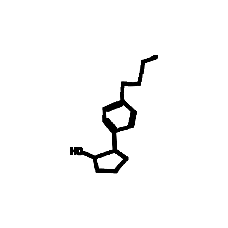 CCCCc1ccc(C2CCCC2O)cc1